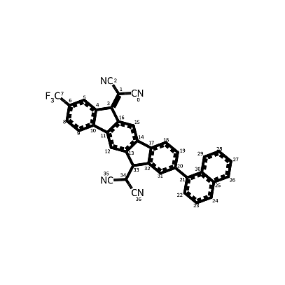 N#CC(C#N)=C1c2cc(C(F)(F)F)ccc2-c2cc3c(cc21)-c1ccc(-c2cccc4ccccc24)cc1C3C(C#N)C#N